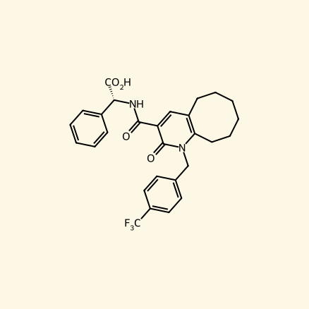 O=C(N[C@@H](C(=O)O)c1ccccc1)c1cc2c(n(Cc3ccc(C(F)(F)F)cc3)c1=O)CCCCCC2